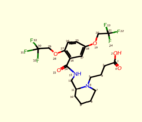 O=C(O)CCCN1CCCCC1CNC(=O)c1cc(OCC(F)(F)F)ccc1OCC(F)(F)F